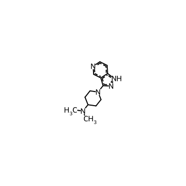 CN(C)C1CCN(c2n[nH]c3ccncc23)CC1